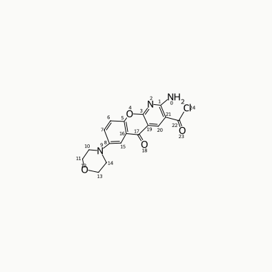 Nc1nc2oc3ccc(N4CCOCC4)cc3c(=O)c2cc1C(=O)Cl